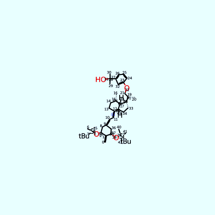 C=C1[C@@H](O[Si](C)(C)C(C)(C)C)CC(=C/C=C2\CC[C@H](C)[C@@H]3[C@H]([C@@H](C)COc4cccc(C(C)(C)O)c4)CC[C@H]23)C[C@H]1O[Si](C)(C)C(C)(C)C